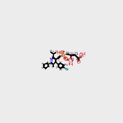 Cc1c(-c2ccccc2)nc(C(C)C)c(C#CP(=O)(O)CC(O)CC(=O)O)c1-c1ccc(F)cc1